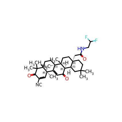 [C-]#[N+]C1=C[C@]2(C)C3=CC(=O)[C@@H]4[C@@H]5CC(C)(C)CC[C@]5(CC(=O)NCC(F)F)CC[C@@]4(C)[C@]3(C)CC[C@H]2C(C)(C)C1=O